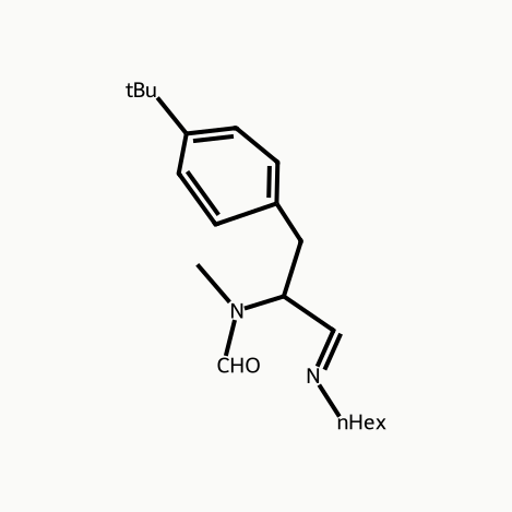 CCCCCCN=CC(Cc1ccc(C(C)(C)C)cc1)N(C)C=O